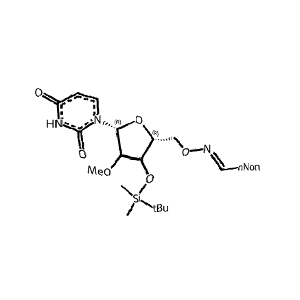 CCCCCCCCCC=NOC[C@H]1O[C@@H](n2ccc(=O)[nH]c2=O)C(OC)C1O[Si](C)(C)C(C)(C)C